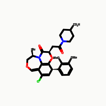 COc1cccc([C@@H]2C=C(Cl)C3=COC[C@@H](C(C)(C)C)N4C(=O)[C@@H](CC(=O)N5CCC(C(=O)O)CC5)OC2=C34)c1OC